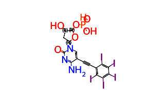 Nc1nc(=O)n([C@H]2C[C@@H](O)[C@@H](O[PH](=O)O)O2)cc1C#Cc1c(I)c(I)c(I)c(I)c1I